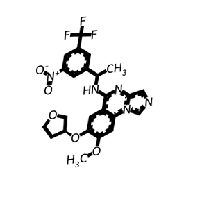 COc1cc2c(cc1O[C@H]1CCOC1)c(NC(C)c1cc([N+](=O)[O-])cc(C(F)(F)F)c1)nc1cncn12